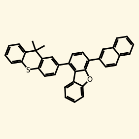 CC1(C)c2ccccc2Sc2ccc(-c3ccc(-c4ccc5ccccc5c4)c4oc5ccccc5c34)cc21